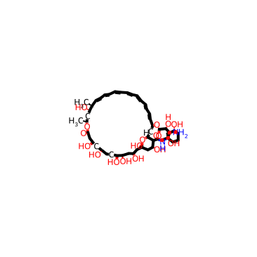 C[C@H]1C[C@H](O)[C@@H](C)/C=C/C=C/C=C/C=C/C=C/C=C/C=C/C(O[C@@H]2OC[C@@H](O)[C@H](N)[C@@H]2O)C[C@@H]2OC(O)(CC(O)C[C@@H](O)C(O)CCC(O)CC(O)CC(=O)O1)C[C@H](O)C2C(=O)N[C@H]1CCC[C@@H](O)C1